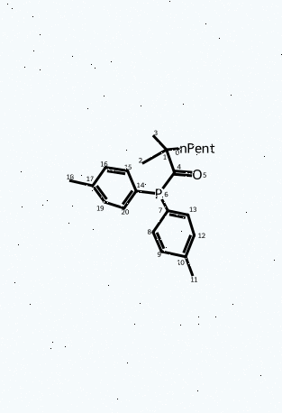 CCCCCC(C)(C)C(=O)P(c1ccc(C)cc1)c1ccc(C)cc1